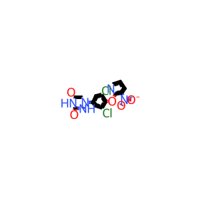 O=C1CN(c2cc(Cl)c(Oc3ncccc3[N+](=O)[O-])c(Cl)c2)NC(=O)N1